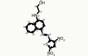 O=[N+]([O-])c1cc([N+](=O)[O-])c(N=Nc2ccc(NCCO)c3ccccc23)s1